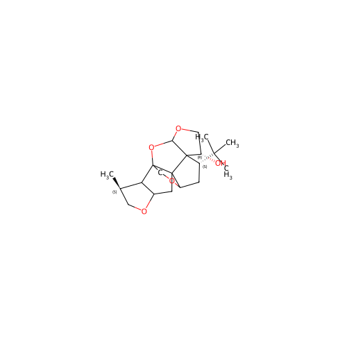 C[C@@H]1COC2CC34C5C[C@@H](C(C)(C)C)C36C(OC[C@@H]6O)OC4(CO5)C21